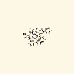 CC(C)(C)C(c1ccc(-c2ccccn2)cc1)[C@@H]([C@@H](O)C[C@H](Cc1ccccc1)NC(=O)O)N(Cc1ccccc1)Cc1ccccc1